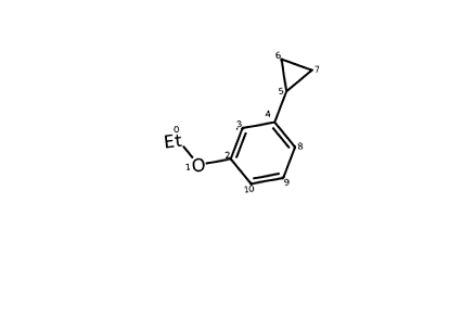 CCOc1[c]c(C2CC2)ccc1